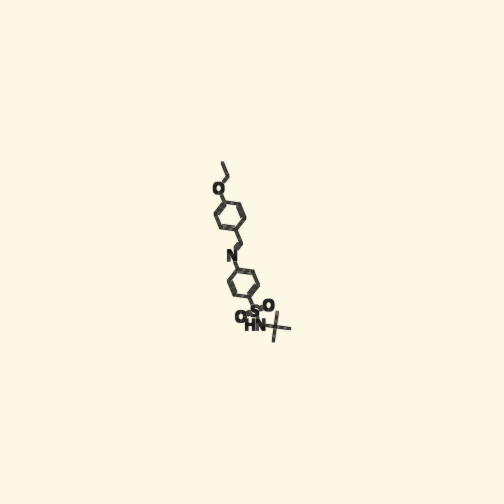 CCOc1ccc(/C=N/c2ccc(S(=O)(=O)NC(C)(C)C)cc2)cc1